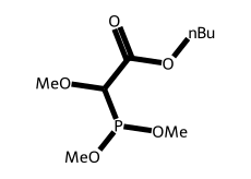 CCCCOC(=O)C(OC)P(OC)OC